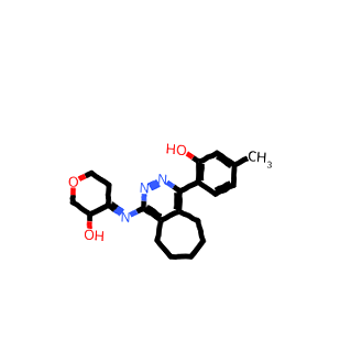 Cc1ccc(-c2nnc(/N=C3\CCOCC3O)c3c2CCCCC3)c(O)c1